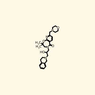 CC1(C)CN(CC(O)CN2CCc3ccccc3C2)C(=O)c2ccc(CN3CCOCC3)nc2O1